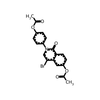 CC(=O)Oc1ccc(-n2cc(Br)c3cc(OC(C)=O)ccc3c2=O)cc1